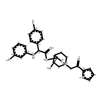 O=C(C[N+]12CCC(CC1)[C@@H](OC(=O)C(Nc1cccc(F)c1)c1ccc(F)cc1)C2)c1cccs1